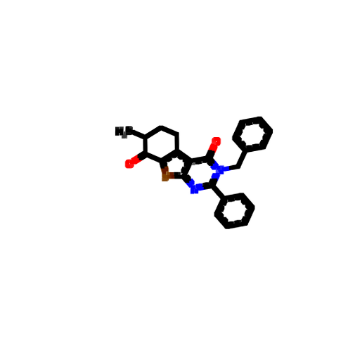 BC1CCc2c(sc3nc(-c4ccccc4)n(Cc4ccccc4)c(=O)c23)C1=O